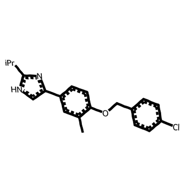 Cc1cc(-c2c[nH]c(C(C)C)n2)ccc1OCc1ccc(Cl)cc1